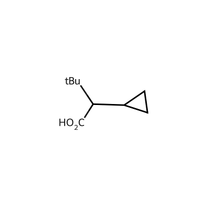 CC(C)(C)C(C(=O)O)C1CC1